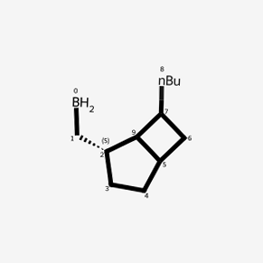 BC[C@H]1CCC2CC(CCCC)C21